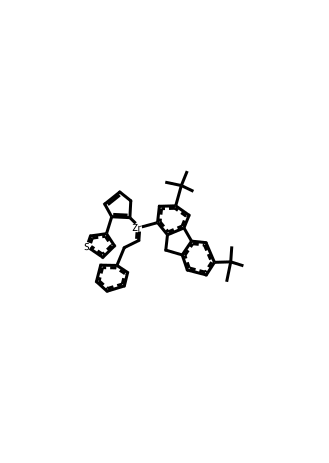 CC(C)(C)c1ccc2c(c1)-c1cc(C(C)(C)C)c[c]([Zr](=[CH]Cc3ccccc3)[C]3=C(c4ccsc4)C=CC3)c1C2